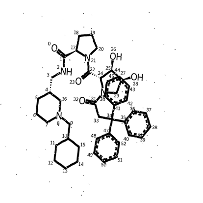 O=C(NC[C@H]1CCCN(CC2CCCCC2)C1)[C@H]1CCCN1C(=O)[C@@H]1[C@@H](O)[C@@H](O)CN1C(=O)CC(c1ccccc1)(c1ccccc1)c1ccccc1